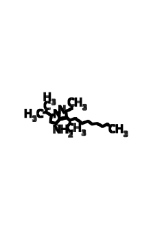 CCCCCCCCC(C)c1c(CC)nn2c1C(N)CC2C(C)C